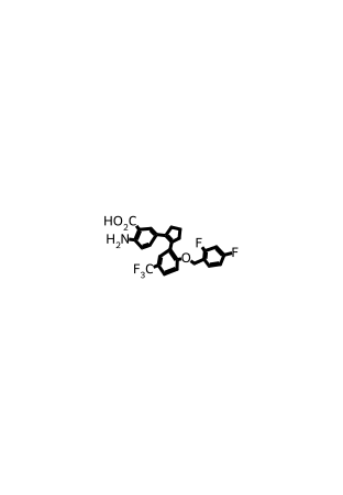 Nc1ccc(C2=C(c3cc(C(F)(F)F)ccc3OCc3ccc(F)cc3F)CCC2)cc1C(=O)O